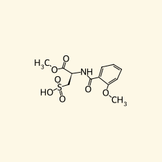 COC(=O)[C@H](CS(=O)(=O)O)NC(=O)c1ccccc1OC